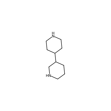 C1CNCC(C2CCNCC2)C1